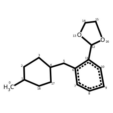 CC1CCC(Cc2ccccc2C2OCCO2)CC1